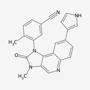 Cc1ccc(C#N)cc1-n1c(=O)n(C)c2cnc3ccc(-c4cc[nH]c4)cc3c21